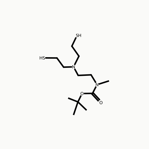 CN(CCN(CCS)CCS)C(=O)OC(C)(C)C